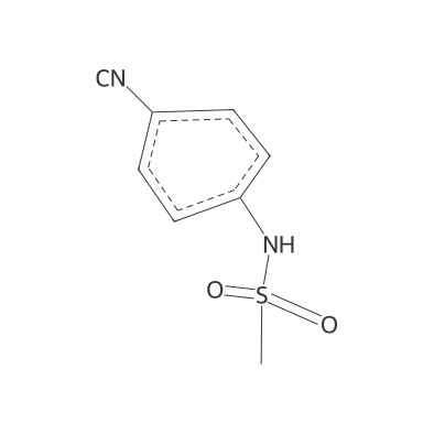 [C-]#[N+]c1ccc(NS(C)(=O)=O)cc1